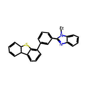 CCn1c(-c2cccc(-c3cccc4c3SC3C=CC=CC43)c2)nc2ccccc21